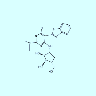 CN(C)c1nc(Cl)c(-c2nc3ccccc3s2)c(N[C@@H]2C[C@H](CO)[C@@H](O)[C@H]2O)n1